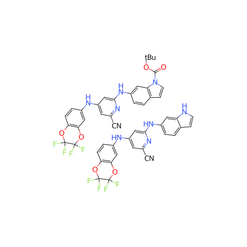 CC(C)(C)OC(=O)n1ccc2ccc(Nc3cc(Nc4ccc5c(c4)OC(F)(F)C(F)(F)O5)cc(C#N)n3)cc21.N#Cc1cc(Nc2ccc3c(c2)OC(F)(F)C(F)(F)O3)cc(Nc2ccc3cc[nH]c3c2)n1